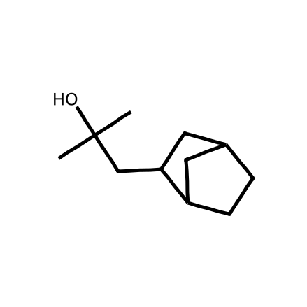 CC(C)(O)CC1CC2CCC1C2